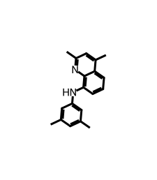 Cc1cc(C)cc(Nc2cccc3c(C)cc(C)nc23)c1